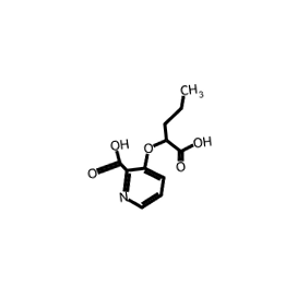 CCCC(Oc1cccnc1C(=O)O)C(=O)O